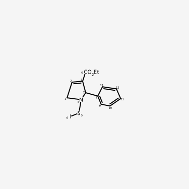 CCOC(=O)C1=CCN(SI)C1c1ccccc1